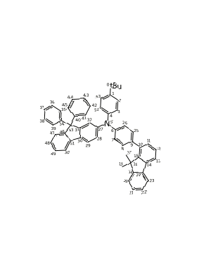 CC(C)(C)c1ccc(N(c2ccc(-c3cccc4c3C(C)(C)c3ccccc3-4)cc2)c2ccc3c(c2)C(c2ccccc2)(c2ccccc2)c2ccccc2-3)cc1